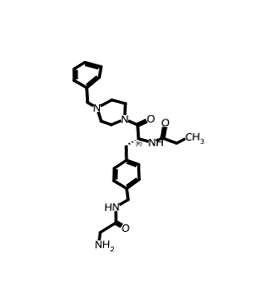 CCC(=O)N[C@H](Cc1ccc(CNC(=O)CN)cc1)C(=O)N1CCN(Cc2ccccc2)CC1